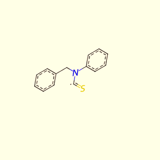 S=[C]N(Cc1ccccc1)c1ccccc1